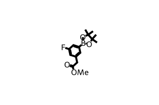 COC(=O)Cc1cc(F)cc(B2OC(C)(C)C(C)(C)O2)c1